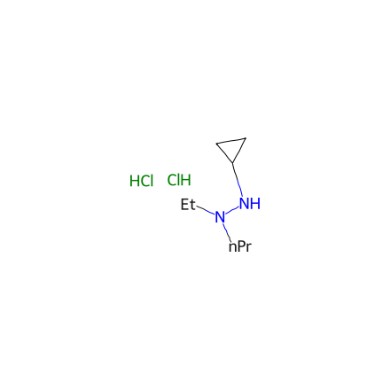 CCCN(CC)NC1CC1.Cl.Cl